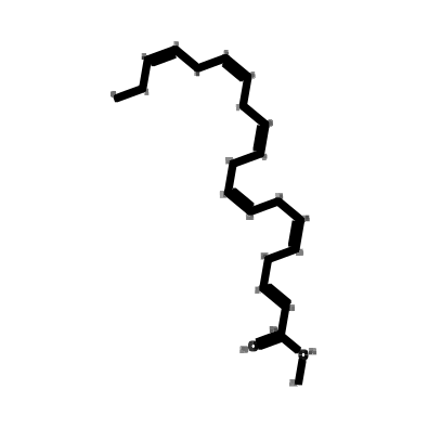 CC/C=C\C/C=C\C/C=C\C/C=C\C/C=C\C/C=C/C(=O)OC